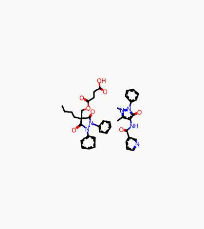 CCCCC1(COC(=O)CCC(=O)O)C(=O)N(c2ccccc2)N(c2ccccc2)C1=O.Cc1c(NC(=O)c2cccnc2)c(=O)n(-c2ccccc2)n1C